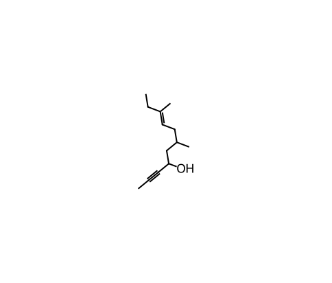 CC#CC(O)CC(C)C/C=C(\C)CC